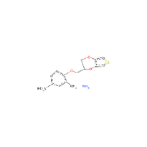 Cc1cc(S(=O)(=O)O)ccc1OCC1COc2cscc2O1.N